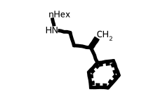 C=C(CCNCCCCCC)c1ccccc1